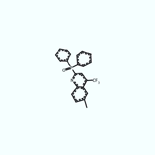 Cc1ccc2nc(P(=O)(c3ccccc3)c3ccccc3)cc(C(F)(F)F)c2c1